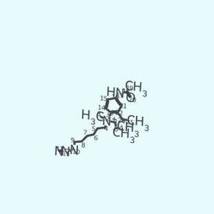 CC[N+](C)(CCCCCCN=[N+]=[N-])c1ccc(NC(C)=O)cc1C(C)C